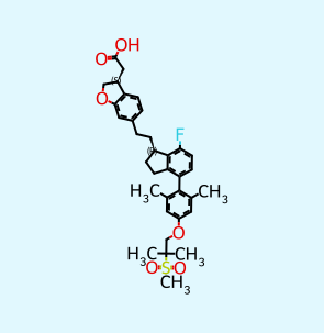 Cc1cc(OCC(C)(C)S(C)(=O)=O)cc(C)c1-c1ccc(F)c2c1CC[C@H]2CCc1ccc2c(c1)OC[C@H]2CC(=O)O